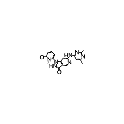 Cc1cc(Nc2cc3c(cn2)c(=O)[nH]n3-c2cccc(=O)n2C)nc(C)n1